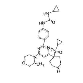 C[C@H]1COCCN1c1cc(C2(S(=O)(=O)C3CC3)CCNCC2)nc(-c2ccc(NC(=O)NC3CC3)cc2)n1